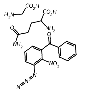 NC(=O)CCC(N)C(=O)O.NCC(=O)O.[N-]=[N+]=Nc1cccc(C(=O)c2ccccc2)c1[N+](=O)[O-]